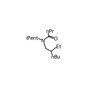 CCCCC(CC)CN(C(=O)CCC)C(C)CCC